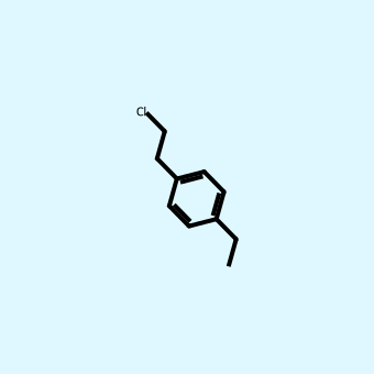 CCc1ccc(CCCl)cc1